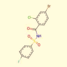 O=C(NS(=O)(=O)c1ccc(F)cc1)c1ccc(Br)cc1Cl